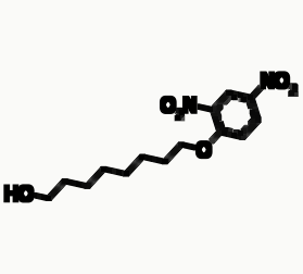 O=[N+]([O-])c1ccc(OCCCCCCCCO)c([N+](=O)[O-])c1